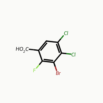 O=C(O)c1cc(Cl)c(Cl)c(Br)c1F